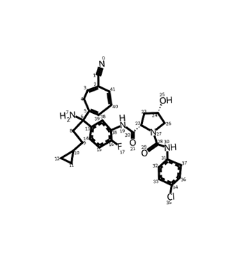 N#CC1=CCC(C(N)(CCC2CC2)c2ccc(F)c(NC(=O)[C@@H]3C[C@H](O)CN3C(=O)Nc3ccc(Cl)cc3)c2)=CC=C1